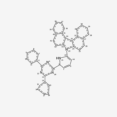 C1=CC(c2nc(-c3ccccc3)nc(-c3ccccc3)n2)NC(n2c3ccc4ccccc4c3c3c4ccccc4ccc32)=C1